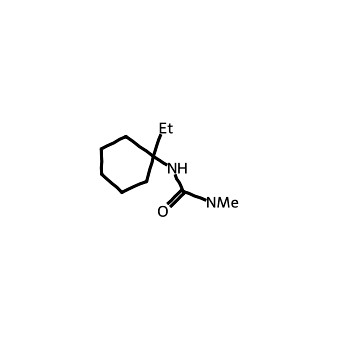 CCC1(NC(=O)NC)CCCCC1